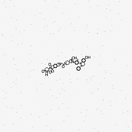 C[C@H]1CC2(CCN(C(=O)CN3Cc4cc5c(cc4C3)C(=O)N(C3CCC(=O)NC3=O)C5=O)CC2)CN1c1ccc([C@@H]2c3ccc(O)cc3CC[C@@H]2c2ccccc2)cc1